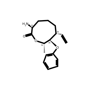 C=C[C@H]1CCC[C@H](N)C(=O)O[C@@H](C)[C@@H]1Oc1ccccc1